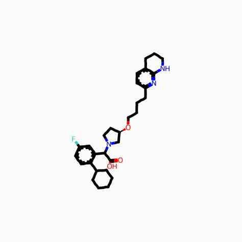 O=C(O)C(c1cc(F)ccc1C1CCCCC1)N1CC[C@@H](OCCCCc2ccc3c(n2)NCCC3)C1